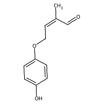 CC(C=O)=CCOc1ccc(O)cc1